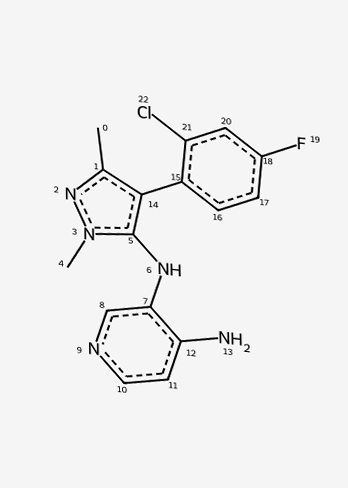 Cc1nn(C)c(Nc2cnccc2N)c1-c1ccc(F)cc1Cl